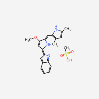 COc1c/c(=C2\C=c3ccccc3=N2)[nH]/c1=C\c1[nH]c(C)cc1C.CS(=O)(=O)O